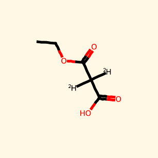 [2H]C([2H])(C(=O)O)C(=O)OCC